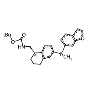 CN(c1ccc2c(c1)CCC[C@H]2CNC(=O)OC(C)(C)C)c1ccc2ccoc2c1